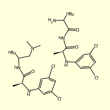 CCCCC(CN(C)C)NC(=O)[C@H](C)Nc1cc(Cl)cc(Cl)c1.CCCCC(N)C(=O)NC(=O)[C@H](C)Nc1cc(Cl)cc(Cl)c1